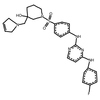 O=S(=O)(c1ccc(Nc2nccc(Nc3ccc(F)cc3)n2)cc1)N1CCCC(O)(CN2CC=CC2)C1